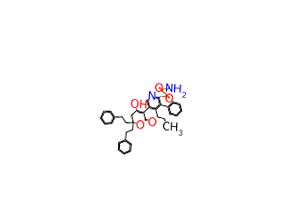 CCCc1c(C2=C(O)CC(CCc3ccccc3)(CCc3ccccc3)OC2=O)cnc(S(N)(=O)=O)c1-c1ccccc1